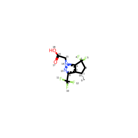 C[C@H]1CC(F)(F)c2c1c(C(F)(F)F)nn2CC(=O)O